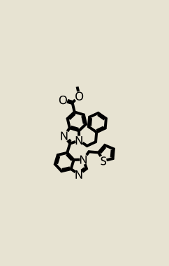 COC(=O)c1ccc2c(c1)nc(-c1cccc3ncn(Cc4cccs4)c13)n2CCc1ccccc1